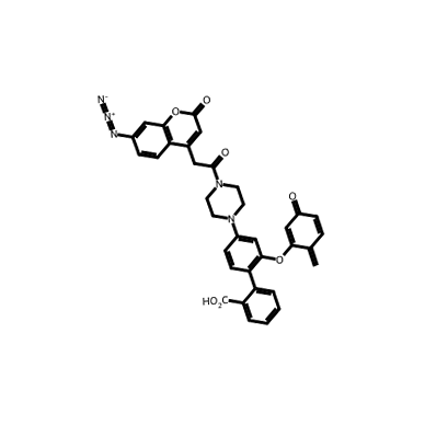 C=C1C=CC(=O)C=C1Oc1cc(N2CCN(C(=O)Cc3cc(=O)oc4cc(N=[N+]=[N-])ccc34)CC2)ccc1-c1ccccc1C(=O)O